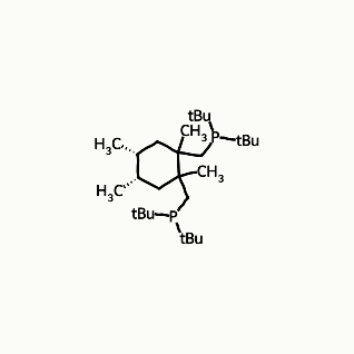 C[C@@H]1CC(C)(CP(C(C)(C)C)C(C)(C)C)C(C)(CP(C(C)(C)C)C(C)(C)C)C[C@@H]1C